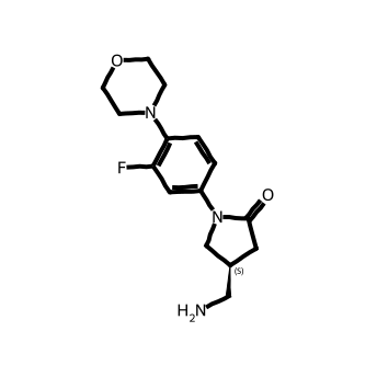 NC[C@@H]1CC(=O)N(c2ccc(N3CCOCC3)c(F)c2)C1